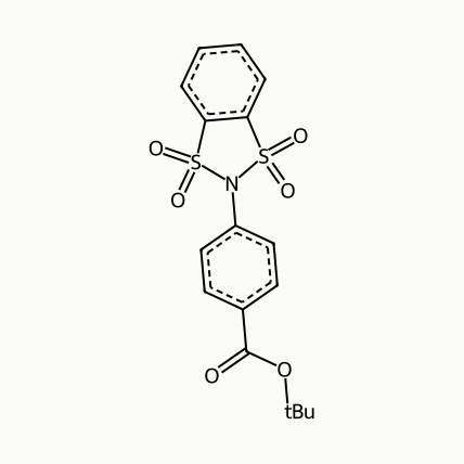 CC(C)(C)OC(=O)c1ccc(N2S(=O)(=O)c3ccccc3S2(=O)=O)cc1